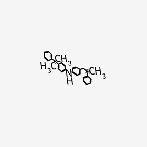 C[C@H](Cc1ccc(Nc2ccc(C(C)(C)c3ccccc3)cc2)cc1)c1ccccc1